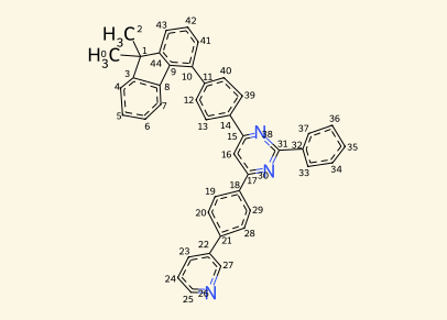 CC1(C)c2ccccc2-c2c(-c3ccc(-c4cc(-c5ccc(-c6cccnc6)cc5)nc(-c5ccccc5)n4)cc3)cccc21